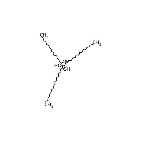 CCCCCCCCC=CCCCCCCCC(=O)C(O)(C(O)CCCCCCCCCCCCCCCC)C(O)CCCCCCCCCCCCCCCCCC